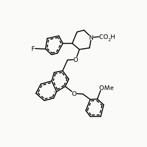 COc1ccccc1COc1cc(COC2CN(C(=O)O)CCC2c2ccc(F)cc2)cc2ccccc12